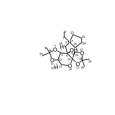 CC[N+]1(C[C@@]2(O)[C@@H]3OC(C)(C)O[C@@H]3CO[C@]23COC(C)(C)O3)CCCC1